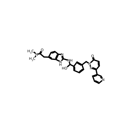 CN(C)C(=O)Cc1ccc2nc(NC(O)c3cccc(Cn4nc(-c5cccnc5)ccc4=O)c3)[nH]c2c1